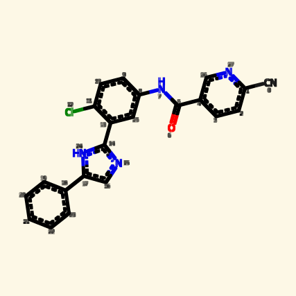 N#Cc1ccc(C(=O)Nc2ccc(Cl)c(-c3ncc(-c4ccccc4)[nH]3)c2)cn1